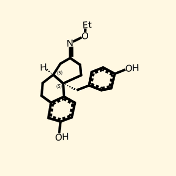 CCON=C1CC[C@@]2(Cc3ccc(O)cc3)c3ccc(O)cc3CC[C@H]2C1